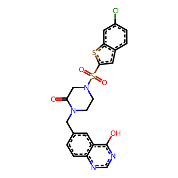 O=C1CN(S(=O)(=O)c2cc3ccc(Cl)cc3s2)CCN1Cc1ccc2ncnc(O)c2c1